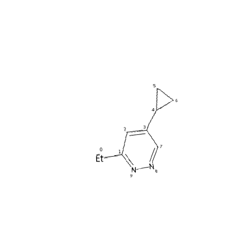 CCc1cc(C2CC2)cnn1